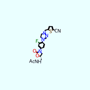 CC(=O)NC[C@H]1CN(c2ccc(N3C=NN(Cc4ccc(C#N)s4)CC3)c(F)c2)C(=O)O1